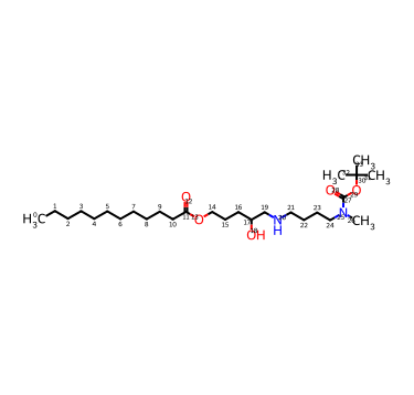 CCCCCCCCCCCC(=O)OCCCC(O)CNCCCCN(C)C(=O)OC(C)(C)C